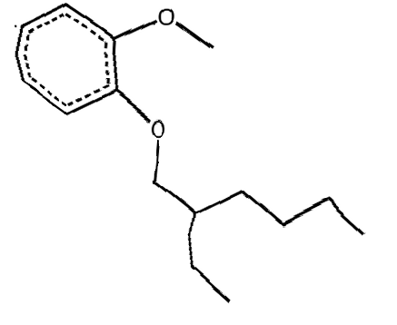 CCCCC(CC)COc1cc[c]cc1OC